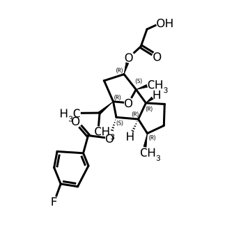 CC(C)[C@@]12C[C@@H](OC(=O)CO)[C@@](C)(O1)[C@@H]1CC[C@@H](C)[C@H]1[C@@H]2OC(=O)c1ccc(F)cc1